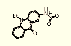 CCn1c2ccccc2c(=O)c2cc(N[SH](=O)=O)ccc21